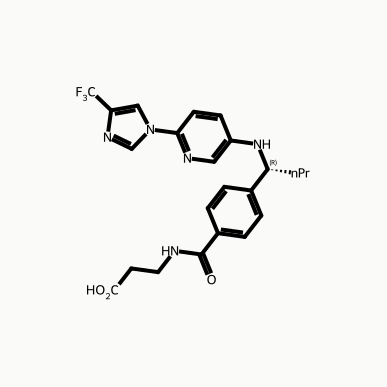 CCC[C@@H](Nc1ccc(-n2cnc(C(F)(F)F)c2)nc1)c1ccc(C(=O)NCCC(=O)O)cc1